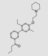 CCCC(=O)c1cccc(-c2cc(C)c(OCCN3CCCCC3)cc2CC)c1